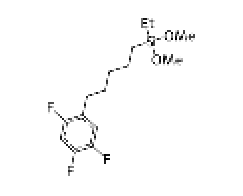 CC[Si](CCCCCc1cc(F)c(F)cc1F)(OC)OC